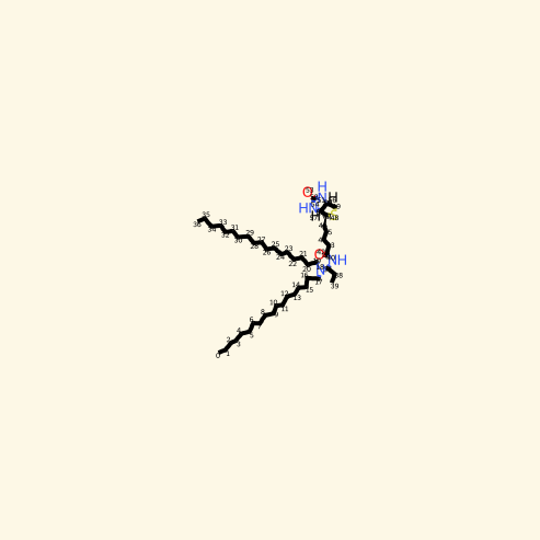 CCCCCCCCCCCCCCCCCCN(CCCCCCCCCCCCCCCCCC)C(CC)NC(=O)CCCC[C@@H]1SC[C@@H]2NC(=O)N[C@@H]21